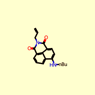 C=CCN1C(=O)c2cccc3c(NCCCC)ccc(c23)C1=O